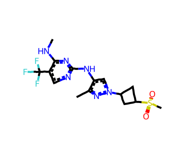 CNc1nc(Nc2cn(C3CC(S(C)(=O)=O)C3)nc2C)ncc1C(F)(F)F